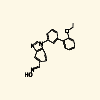 CCOc1ccccc1-c1cccc(-n2cnc3cc(C=NO)ccc32)c1